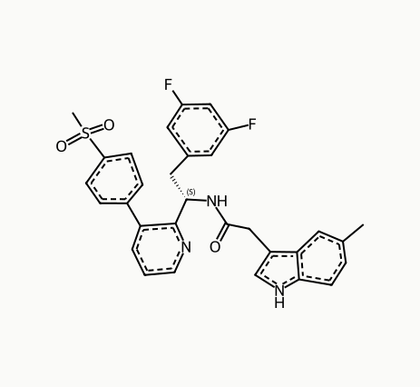 Cc1ccc2[nH]cc(CC(=O)N[C@@H](Cc3cc(F)cc(F)c3)c3ncccc3-c3ccc(S(C)(=O)=O)cc3)c2c1